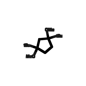 COC1(C(C)(C)C)CCC(OC)(C(C)(C)C)C1